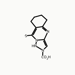 O=C(O)N1C=C2N=C3CCCCC3=C([S])N2N1